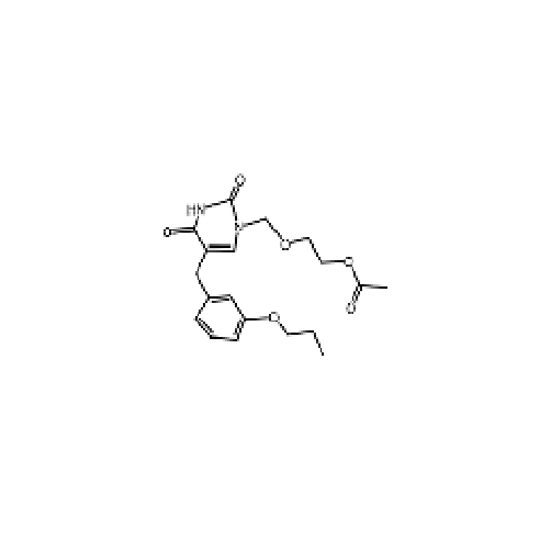 CCCOc1cccc(Cc2cn(COCCOC(C)=O)c(=O)[nH]c2=O)c1